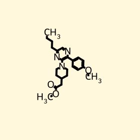 CCCCc1cnc(-c2ccc(OC)cc2)c(N2CCC(CC(=O)OC)CC2)n1